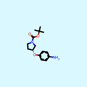 CC(C)(C)OC(=O)N1CC[C@@H](Oc2ccc(N)cc2)C1